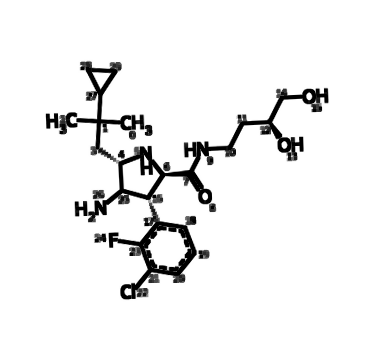 CC(C)(C[C@@H]1N[C@@H](C(=O)NCC[C@H](O)CO)[C@H](c2cccc(Cl)c2F)C1N)C1CC1